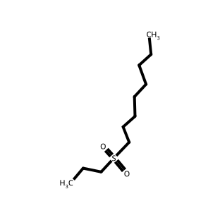 CCCCCCCCS(=O)(=O)CCC